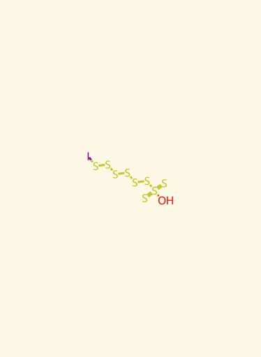 OS(=S)(=S)SSSSSSI